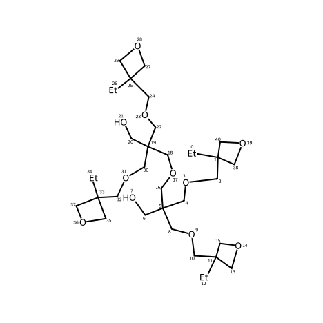 CCC1(COCC(CO)(COCC2(CC)COC2)COCC(CO)(COCC2(CC)COC2)COCC2(CC)COC2)COC1